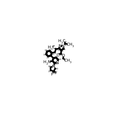 CCOC(=O)c1cn(C(C)C)nc1C(C)Cc1ccccc1-c1ccnc(N2CCC(F)(F)C2)c1N